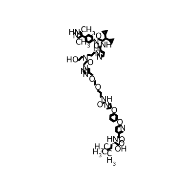 Cc1n[nH]c(C)c1-c1ccc(NC(=O)[C@@H](NC(=O)c2ccnn2CCCN(CCO)C(=O)Cn2cc(COCCOCCCNC(=O)N3CC(Oc4cccc(Oc5ccc(C(=O)N[C@@H](CCC(C)(C)C)C(=O)O)cn5)c4)C3)nn2)C(C2CC2)C2CC2)cc1